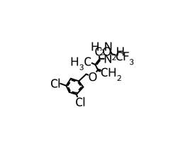 C=C(OCc1cc(Cl)cc(Cl)c1)/C(C)=C(\N=C(/N)C(F)(F)F)C(=O)O